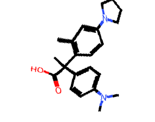 Cc1cc(N2CCCC2)ccc1C(C)(C(=O)O)c1ccc(N(C)C)cc1